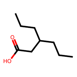 CCCC(CCC)CC(=O)O